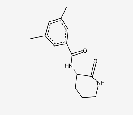 Cc1cc(C)cc(C(=O)N[C@H]2CCCNC2=O)c1